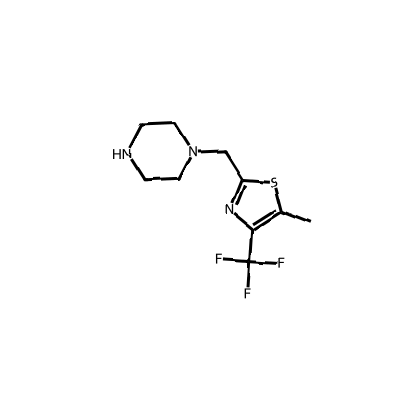 Cc1sc(CN2CCNCC2)nc1C(F)(F)F